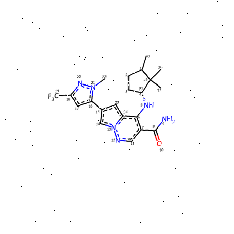 CC1CC[C@@H](Nc2c(C(N)=O)cnn3cc(-c4cc(C(F)(F)F)nn4C)cc23)C1(C)C